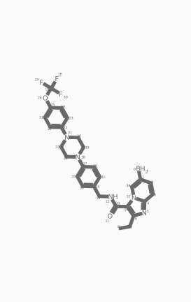 Bc1ccc2nc(CC)c(C(=O)NCc3ccc(N4CCN(c5ccc(OC(F)(F)F)cc5)CC4)cc3)n2c1